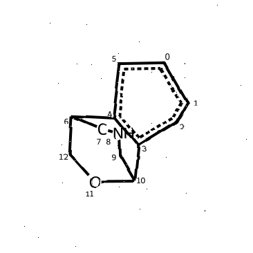 c1ccc2c(c1)C1CNCC2OC1